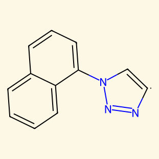 [c]1cn(-c2cccc3ccccc23)nn1